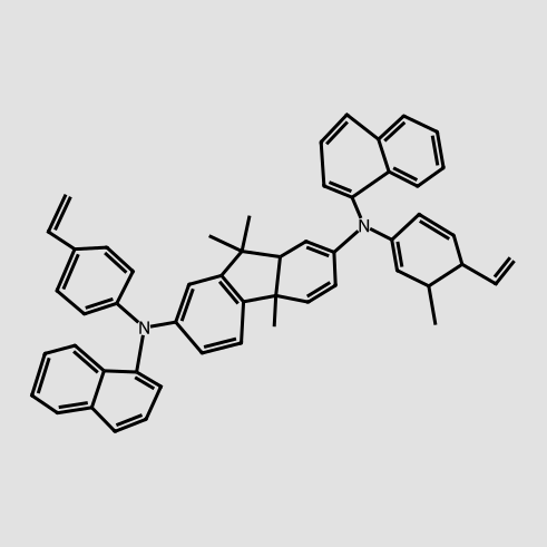 C=Cc1ccc(N(c2ccc3c(c2)C(C)(C)C2C=C(N(C4=CC(C)C(C=C)C=C4)c4cccc5ccccc45)C=CC32C)c2cccc3ccccc23)cc1